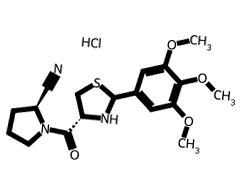 COc1cc(C2N[C@H](C(=O)N3CCC[C@H]3C#N)CS2)cc(OC)c1OC.Cl